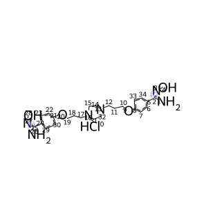 Cl.N/C(=N\O)c1ccc(OCCCN2CCN(CCCOc3ccc(/C(N)=N\O)cc3)CC2)cc1